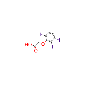 O=C(O)COc1c(I)ccc(I)c1I